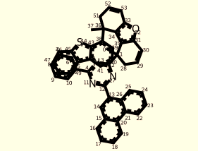 CC1(c2nc(-c3ccccc3)nc(-c3cc4ccccc4c4ccccc34)n2)CC=Cc2oc3c(c21)C(C)(c1cccc2c1sc1ccccc12)CC=C3